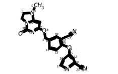 CN1CCn2c1cc(OCc1ccc(Oc3ccnc(C#N)c3)c(C#N)c1)nc2=O